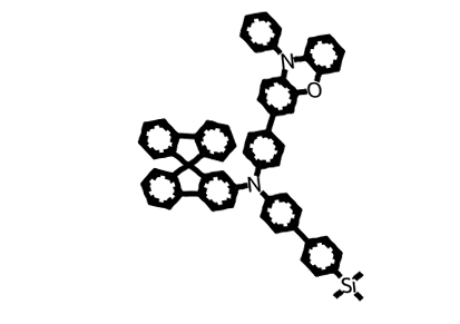 C[Si](C)(C)c1ccc(-c2ccc(N(c3ccc(-c4ccc5c(c4)Oc4ccccc4N5c4ccccc4)cc3)c3ccc4c(c3)C3(c5ccccc5-c5ccccc53)c3ccccc3-4)cc2)cc1